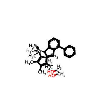 CC1=Cc2c(-c3ccccc3)cccc2[CH]1[Zr]([CH3])([CH3])(=[SiH2])[C]1=C(C)C(C)=C(C)C1C.CO.CO